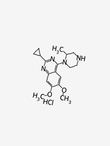 COc1cc2nc(C3CC3)nc(N3CCNCC3C)c2cc1OC.Cl